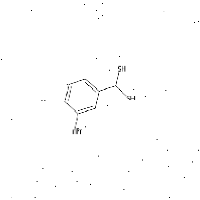 CCCc1cccc(C(S)S)c1